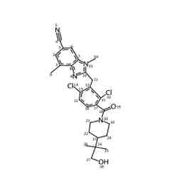 Cc1cc(C#N)cc2c1nc(Cc1c(Cl)ccc(C(=O)N3CCC(C(C)(C)CO)CC3)c1Cl)n2C